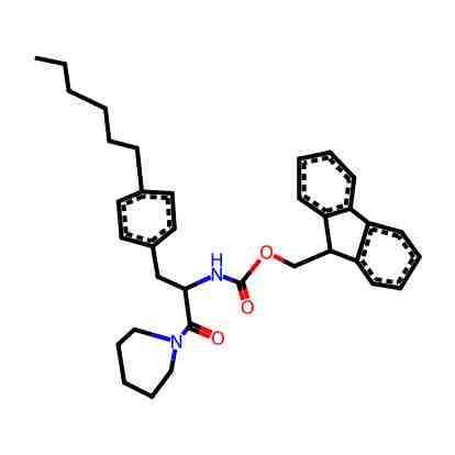 CCCCCCc1ccc(CC(NC(=O)OCC2c3ccccc3-c3ccccc32)C(=O)N2CCCCC2)cc1